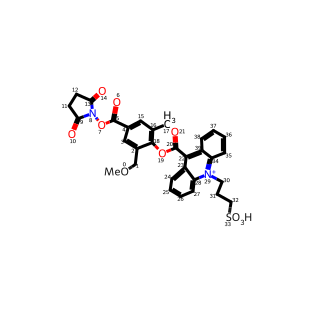 COCc1cc(C(=O)ON2C(=O)CCC2=O)cc(C)c1OC(=O)c1c2ccccc2[n+](CCCS(=O)(=O)O)c2ccccc12